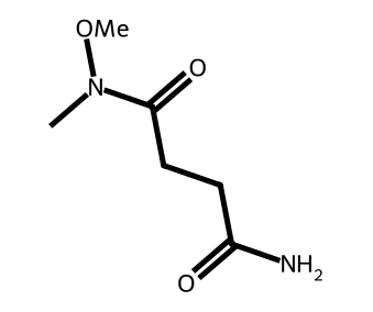 CON(C)C(=O)CCC(N)=O